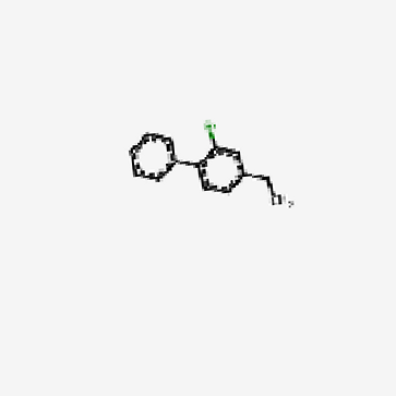 CCc1ccc(-c2ccccc2)c(Br)c1